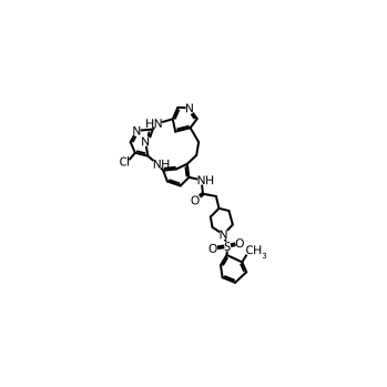 Cc1ccccc1S(=O)(=O)N1CCC(CC(=O)Nc2ccc3cc2CCc2cncc(c2)Nc2ncc(Cl)c(n2)N3)CC1